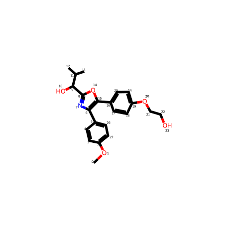 COc1ccc(-c2nc(C(O)C(C)C)oc2-c2ccc(OCCO)cc2)cc1